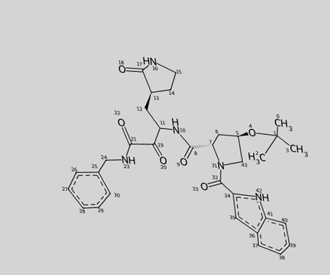 CC(C)(C)O[C@@H]1C[C@@H](C(=O)NC(C[C@@H]2CCNC2=O)C(=O)C(=O)NCc2ccccc2)N(C(=O)c2cc3ccccc3[nH]2)C1